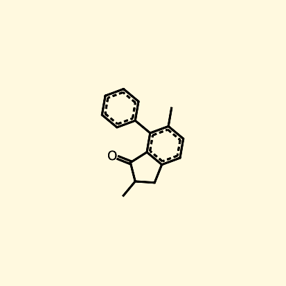 Cc1ccc2c(c1-c1ccccc1)C(=O)C(C)C2